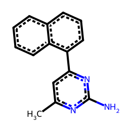 Cc1cc(-c2cccc3ccccc23)nc(N)n1